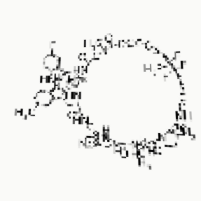 Cc1ccc2[nH]cc(CC3NC(=O)[C@H](Cc4c[nH]c5ccc(F)cc45)NC(=O)CN(C)C(=O)CCCCSc4c(F)c(F)c(c(F)c4P)SCCNC(=O)[C@]4(C)CCCN4C(=O)[C@H](C)NC(=O)[C@H](Cc4cnc[nH]4)NC(=O)CNC3=O)c2c1